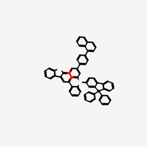 c1ccc(C2(c3ccccc3)c3ccccc3-c3ccc(N(c4cccc(-c5ccc(-c6cccc7ccccc67)cc5)c4)c4ccccc4-c4ccc5sc6ccccc6c5c4)cc32)cc1